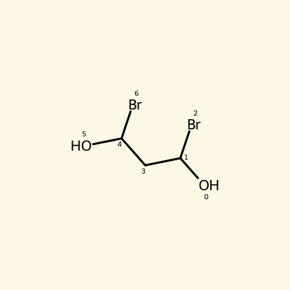 OC(Br)CC(O)Br